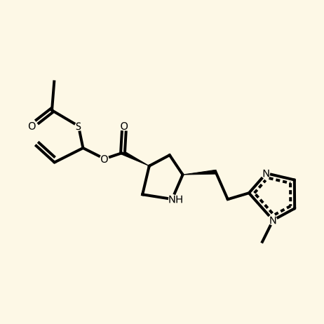 C=CC(OC(=O)[C@@H]1CN[C@H](CCc2nccn2C)C1)SC(C)=O